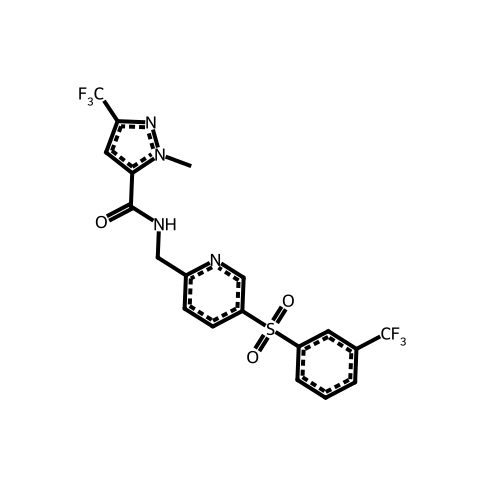 Cn1nc(C(F)(F)F)cc1C(=O)NCc1ccc(S(=O)(=O)c2cccc(C(F)(F)F)c2)cn1